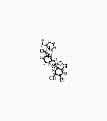 CCC1CCCCN1C(=O)c1cccc(CS(=O)(=O)c2cc(Cl)c(Cl)cc2Cl)n1